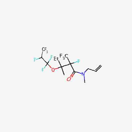 C=CCN(C)C(=O)C(F)(C(F)(F)F)C(C)(CC)OC(F)(F)C(F)C(F)(F)F